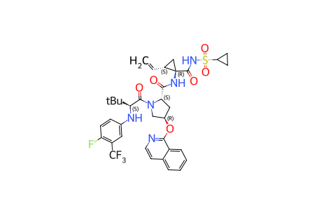 C=C[C@@H]1C[C@]1(NC(=O)[C@@H]1C[C@@H](Oc2nccc3ccccc23)CN1C(=O)[C@@H](Nc1ccc(F)c(C(F)(F)F)c1)C(C)(C)C)C(=O)NS(=O)(=O)C1CC1